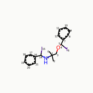 CC(C)(COC(I)c1ccccc1)NC(I)c1ccccc1